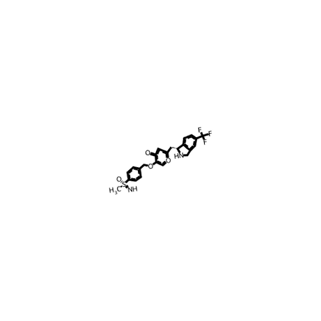 C[S@@](=N)(=O)c1ccc(COc2coc(C[C@H]3NCc4cc(C(F)(F)F)ccc43)cc2=O)cc1